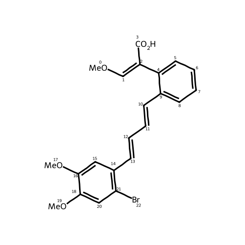 COC=C(C(=O)O)c1ccccc1C=CC=Cc1cc(OC)c(OC)cc1Br